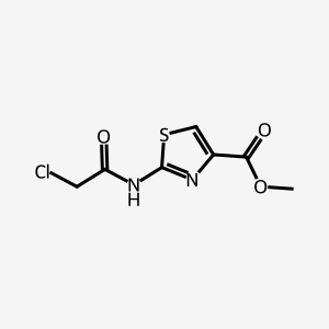 COC(=O)c1csc(NC(=O)CCl)n1